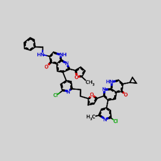 Cc1cc(-c2cc3c(=O)c(C4CC4)c[nH]c3nc2-c2ccc(CCc3cc(-c4cc5c(=O)c(NCc6ccccc6)c[nH]c5nc4-c4ccc(C)o4)cc(Cl)n3)o2)cc(Cl)n1